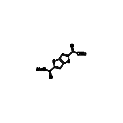 COC(=O)c1cc2sc(C(=O)OC)cc2s1